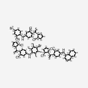 Cc1c(C)c(Nc2ccc(C(=S)c3sccc3Cl)c(Cl)c2)c(C)c(C)c1Br.N#Cc1cc(Br)ccc1Nc1ccc(C(=S)c2sccc2Cl)c(Cl)c1.S=C(c1ccc(Nc2cncc3ccccc23)cc1Cl)c1sccc1Cl